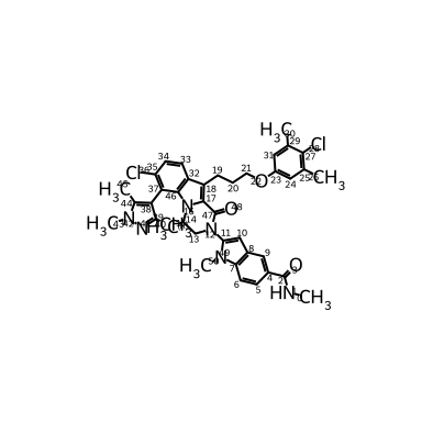 CNC(=O)c1ccc2c(c1)cc(N1C[C@@H](C)n3c(c(CCCOc4cc(C)c(Cl)c(C)c4)c4ccc(Cl)c(-c5c(C)nn(C)c5C)c43)C1=O)n2C